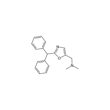 CN(C)Cc1cnc(C(c2ccccc2)c2ccccc2)o1